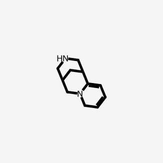 C1=CCN2CC3CNCC(C3)C2=C1